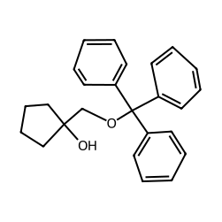 OC1(COC(c2ccccc2)(c2ccccc2)c2ccccc2)CCCC1